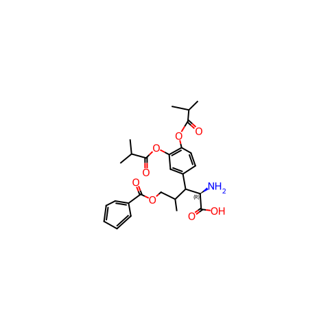 CC(C)C(=O)Oc1ccc(C(C(C)COC(=O)c2ccccc2)[C@@H](N)C(=O)O)cc1OC(=O)C(C)C